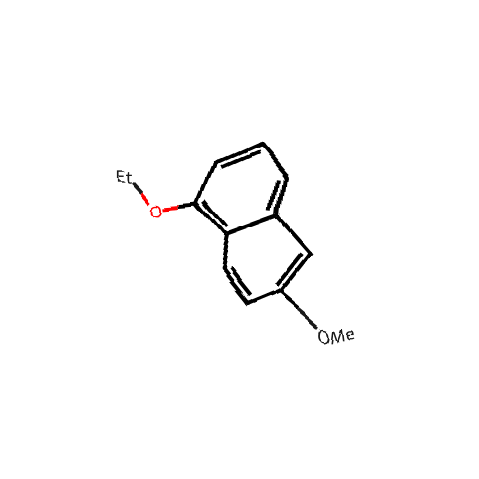 CCOc1cccc2cc(OC)ccc12